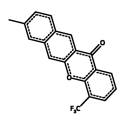 Cc1ccc2cc3c(=O)c4cccc(C(F)(F)F)c4oc3cc2c1